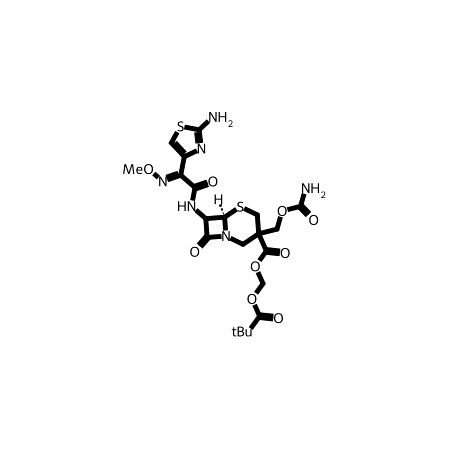 CON=C(C(=O)NC1C(=O)N2CC(COC(N)=O)(C(=O)OCOC(=O)C(C)(C)C)CS[C@H]12)c1csc(N)n1